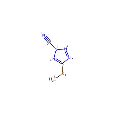 CSc1nnn(C#N)n1